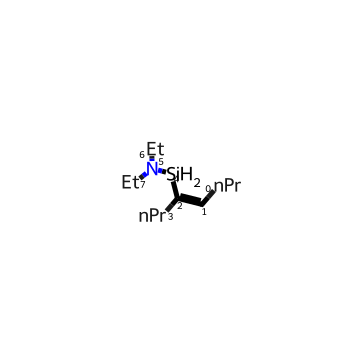 CCCC=C(CCC)[SiH2]N(CC)CC